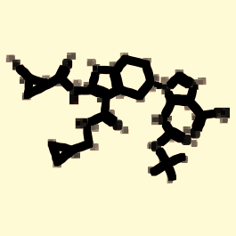 CC(C)(C)OC(=O)Nc1c(C(=O)O)ncn1[C@H]1CCc2sc(NC(=O)C3CC3F)c(C(=O)NCC3CC3)c2C1